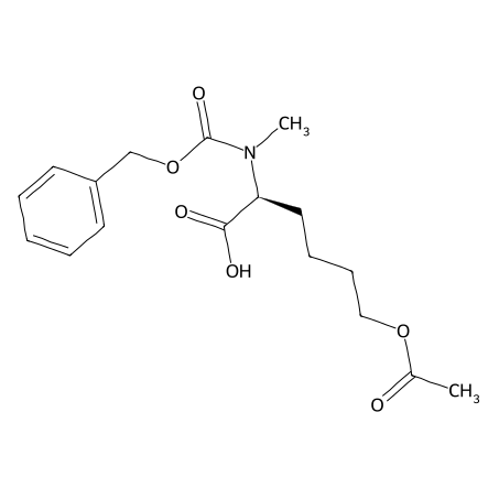 CC(=O)OCCCC[C@@H](C(=O)O)N(C)C(=O)OCc1ccccc1